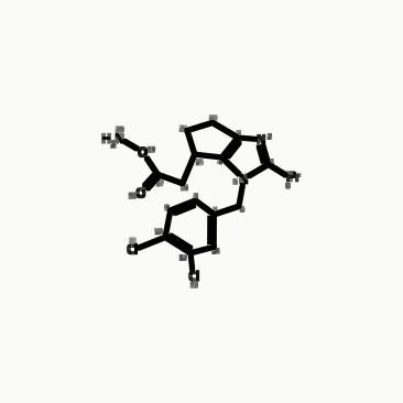 CC(C)c1nc2c(n1Cc1ccc(Cl)c(Cl)c1)C(CC(=O)ON)CC2